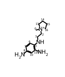 C[N+]1(CCNc2ccc(N)cc2N)CCCC1